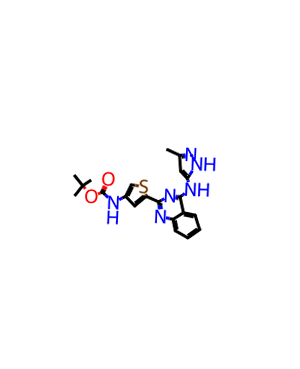 Cc1cc(Nc2nc(-c3cc(NC(=O)OC(C)(C)C)cs3)nc3ccccc23)[nH]n1